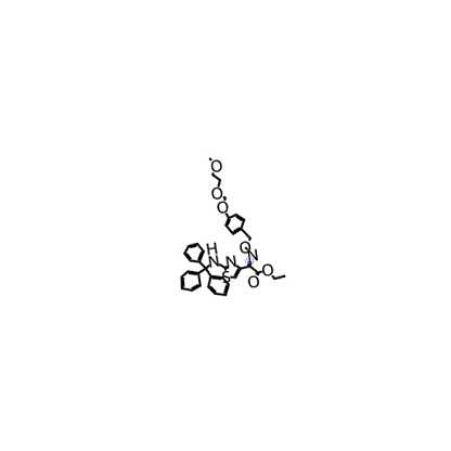 CCOC(=O)/C(=N/OCc1ccc(OCOCCOC)cc1)c1csc(NC(c2ccccc2)(c2ccccc2)c2ccccc2)n1